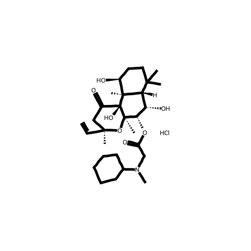 C=C[C@@]1(C)CC(=O)[C@]2(O)[C@@]3(C)[C@@H](O)CCC(C)(C)[C@@H]3[C@H](O)[C@H](OC(=O)CN(C)C3CCCCC3)[C@@]2(C)O1.Cl